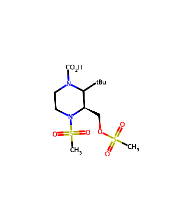 CC(C)(C)C1[C@@H](COS(C)(=O)=O)N(S(C)(=O)=O)CCN1C(=O)O